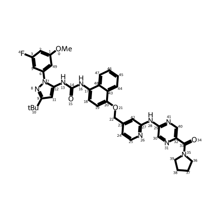 COc1cc(F)cc(-n2nc(C(C)(C)C)cc2NC(=O)Nc2ccc(OCc3ccnc(Nc4cnc(C(=O)N5CCCC5)cn4)c3)c3ccccc23)c1